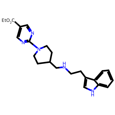 CCOC(=O)c1cnc(N2CCC(CNCCc3c[nH]c4ccccc34)CC2)nc1